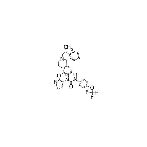 CC(CN1CCc2c(cccc2Oc2ncccc2NC(=O)Nc2ccc(OC(F)(F)F)cc2)C1)c1ccccc1